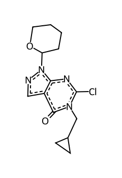 O=c1c2cnn(C3CCCCO3)c2nc(Cl)n1CC1CC1